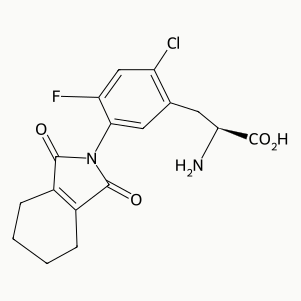 N[C@@H](Cc1cc(N2C(=O)C3=C(CCCC3)C2=O)c(F)cc1Cl)C(=O)O